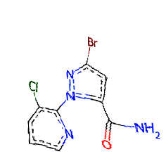 NC(=O)c1cc(Br)nn1-c1ncccc1Cl